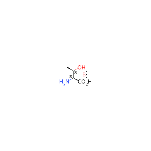 C[C@@H](O)[C@H](N)C(=O)O.[B]